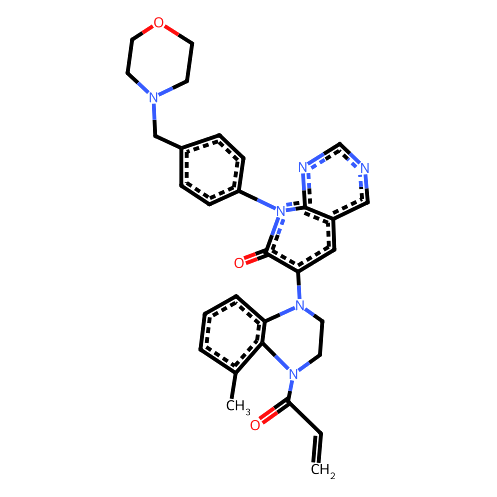 C=CC(=O)N1CCN(c2cc3cncnc3n(-c3ccc(CN4CCOCC4)cc3)c2=O)c2cccc(C)c21